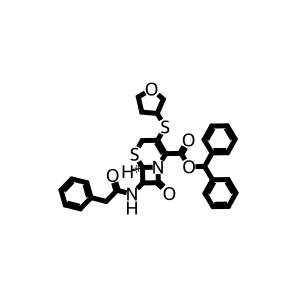 O=C(Cc1ccccc1)NC1C(=O)N2C(C(=O)OC(c3ccccc3)c3ccccc3)=C(SC3CCOC3)CS[C@H]12